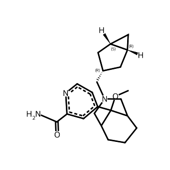 COC1(c2ccnc(C(N)=O)c2)C2CCCC1CN(C[C@@H]1C[C@@H]3C[C@@H]3C1)C2